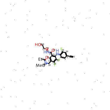 C#Cc1ccc(Nc2c(C(=O)NOCCO)cc(CN(OC)C(=O)CC)c(F)c2F)c(F)c1